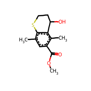 COC(=O)c1cc(C)c2c(c1C)C(O)CCS2